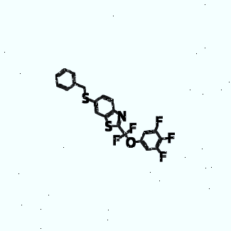 Fc1cc(OC(F)(F)c2nc3ccc(SCc4ccccc4)cc3s2)cc(F)c1F